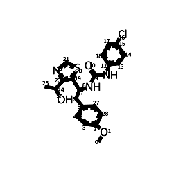 COc1ccc(CC(NC(=O)Nc2ccc(Cl)cc2)c2scnc2C(C)O)cc1